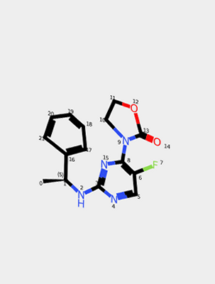 C[C@H](Nc1ncc(F)c(N2CCOC2=O)n1)c1ccccc1